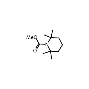 COC(=O)N1C(C)(C)CCCC1(C)C